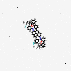 CCC(C)(C)c1cccc2c1oc1c(N(c3ccc(F)cc3)c3ccc4ccc5c(N(c6ccc(F)cc6)c6cccc7c6oc6c(C(C)(C)CC)cccc67)ccc6ccc3c4c65)cccc12